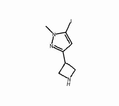 Cn1nc(C2CNC2)cc1I